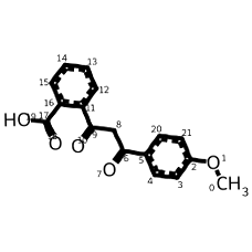 COc1ccc(C(=O)CC(=O)c2ccccc2C(=O)O)cc1